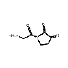 CCCCCCCC(=O)N1CCC(=O)C1=O